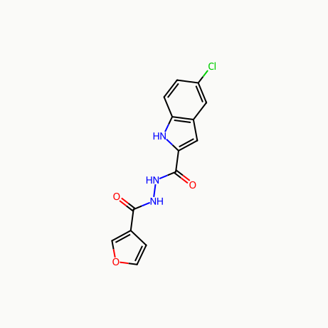 O=C(NNC(=O)c1cc2cc(Cl)ccc2[nH]1)c1ccoc1